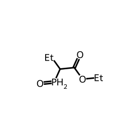 CCOC(=O)C(CC)[PH2]=O